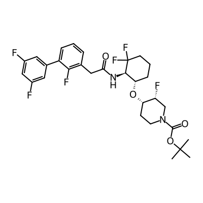 CC(C)(C)OC(=O)N1CC[C@H](O[C@H]2CCCC(F)(F)[C@@H]2NC(=O)Cc2cccc(-c3cc(F)cc(F)c3)c2F)[C@H](F)C1